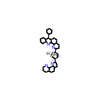 C=C(/C=C\C(=C/C)c1ccc2ccc3cccnc3c2n1)c1ccc2ccc3c(-c4ccccc4)c4ccccc4nc3c2n1